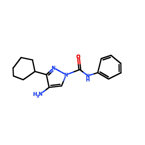 Nc1cn(C(=O)Nc2ccccc2)nc1C1CCCCC1